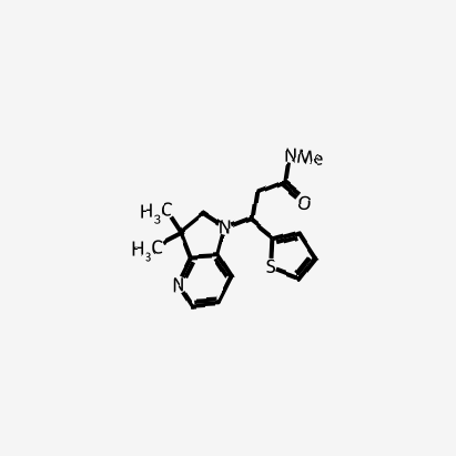 CNC(=O)CC(c1cccs1)N1CC(C)(C)c2ncccc21